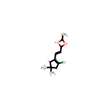 CC1OC(/C=C/C2=C(Cl)CC(C)(C)C2)O1